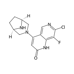 O=c1cc(N2C[C@H]3CC[C@@H](C2)N3)c2cnc(Cl)c(F)c2[nH]1